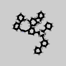 C1=C\c2ccc(-c3nc(-c4ccccc4)nc(-c4cccc(-c5ccccc5)c4)n3)cc2-c2cc3oc4ccccc4c3cc2Sc2ccccc2-c2ccccc2/1